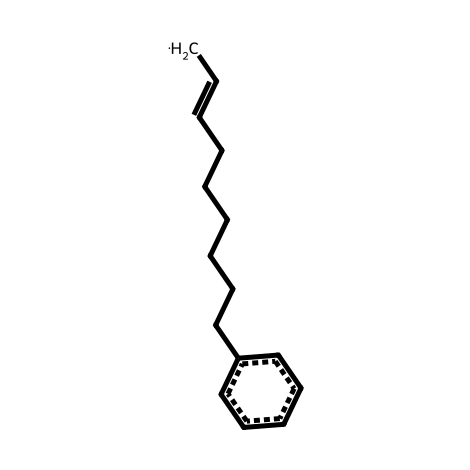 [CH2]C=CCCCCCCc1ccccc1